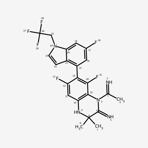 CC(=N)N1C(=N)C(C)(C)Nc2cc(F)c(-c3cc(F)cc4c3ccn4CC(F)(F)F)c(F)c21